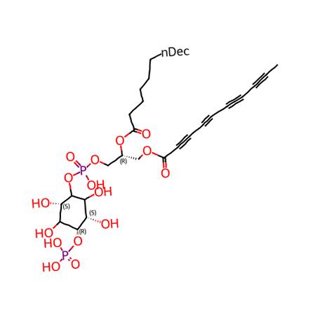 CC#CC#CC#CC#CC(=O)OC[C@H](COP(=O)(O)OC1C(O)[C@H](O)[C@H](OP(=O)(O)O)C(O)[C@@H]1O)OC(=O)CCCCCCCCCCCCCCC